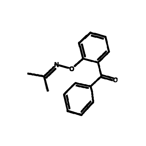 CC(C)=NOc1ccccc1C(=O)c1ccccc1